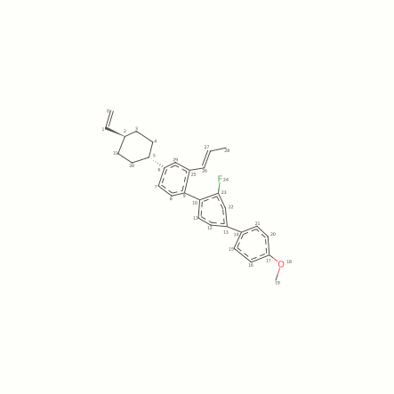 C=C[C@H]1CC[C@H](c2ccc(-c3ccc(-c4ccc(OC)cc4)cc3F)c(C=CC)c2)CC1